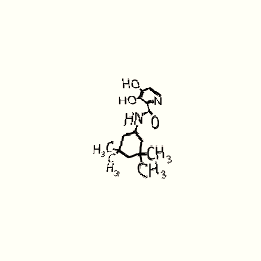 CC1(C)CC(NC(=O)c2nccc(O)c2O)CC(C)(C)C1